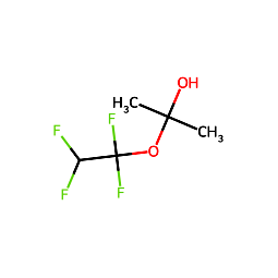 CC(C)(O)OC(F)(F)C(F)F